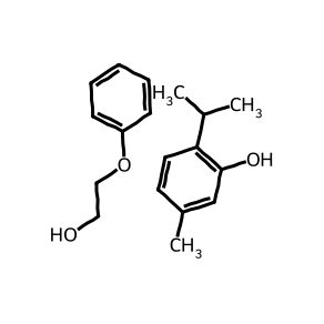 Cc1ccc(C(C)C)c(O)c1.OCCOc1ccccc1